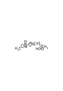 Cc1ccc2[nH]c(-c3ccc(N4CCC(O[C@H]5C[C@@](C)(C(=O)O)C5)CC4)nc3)nc2c1